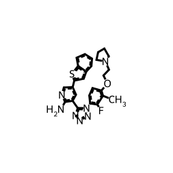 Cc1c(OCCN2CCCC2)ccc(-n2nnnc2-c2cc(-c3cc4ccccc4s3)cnc2N)c1F